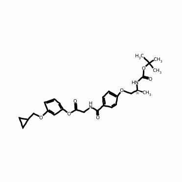 C[C@@H](COc1ccc(C(=O)NCC(=O)Oc2cccc(OCC3CC3)c2)cc1)NC(=O)OC(C)(C)C